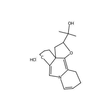 CC(C)(O)C1CC23CCCCC2=CN2C=CCCC2=C3O1.Cl